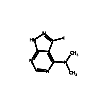 CN(C)c1ncnc2[nH]nc(I)c12